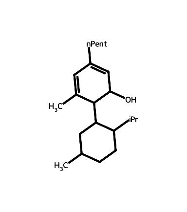 CCCCCC1=CC(O)C(C2CC(C)CCC2C(C)C)C(C)=C1